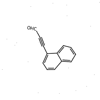 O=CC#Cc1cccc2ccccc12